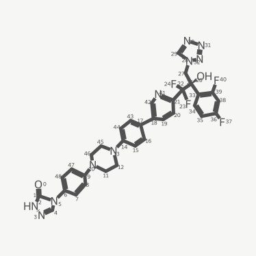 O=c1[nH]ncn1-c1ccc(N2CCN(c3ccc(-c4ccc(C(F)(F)[C@](O)(Cn5cnnn5)c5ccc(F)cc5F)nc4)cc3)CC2)cc1